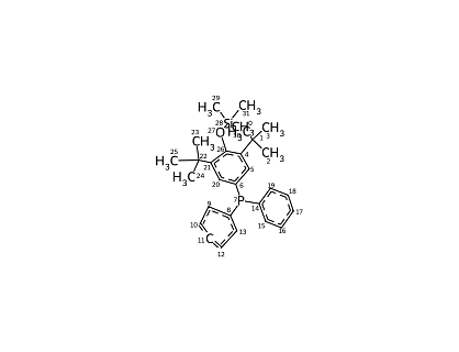 CC(C)(C)c1cc(P(c2ccccc2)c2ccccc2)cc(C(C)(C)C)c1O[Si](C)(C)C